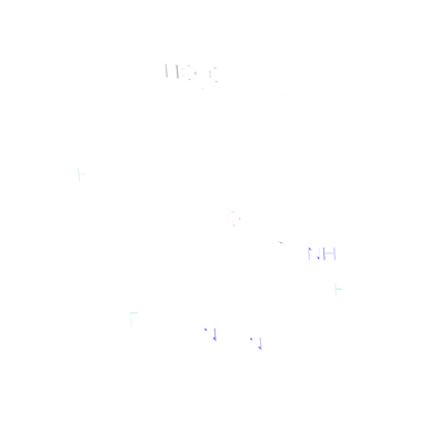 C[C@H](NC(=O)c1c(C(F)F)nn(C)c1-c1ccc(F)cc1F)c1ccc(C(=O)O)cc1